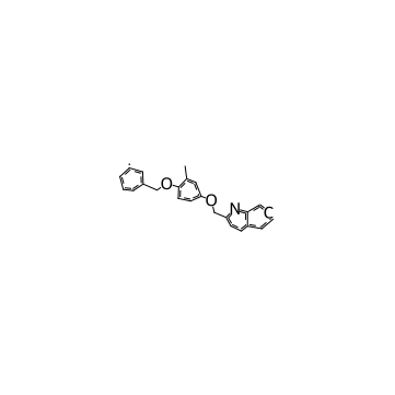 Cc1cc(OCc2ccc3ccccc3n2)ccc1OCc1c[c]ccc1